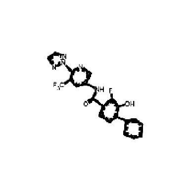 O=C(Nc1cnc(-n2nccn2)c(C(F)(F)F)c1)c1ccc(-c2ccccc2)c(O)c1F